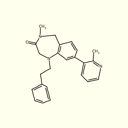 Cc1ncccc1-c1ccc2c(c1)N(CCc1ccccc1)CC(=O)N(C)C2